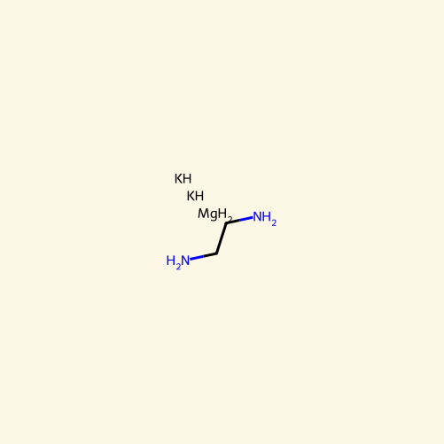 NCCN.[KH].[KH].[MgH2]